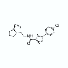 CN1CCCC1CCNC(=O)c1nc(-c2ccc(Cl)cc2)cs1